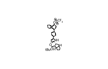 CC(C)(C)OC(=O)N1[C@H](c2ncc(-c3ccc(-c4ccc(OS(=O)(=O)C(F)(F)F)c5c4C4CCC5C4)cc3)[nH]2)C[C@@H]2CCC[C@@H]21